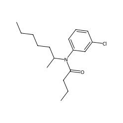 CCCCCC(C)N(C(=O)CCC)c1cccc(Cl)c1